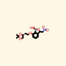 CC1(C)OC[C@H](CCOc2cccc3c2B(O)OC3C[N+](=O)[O-])O1